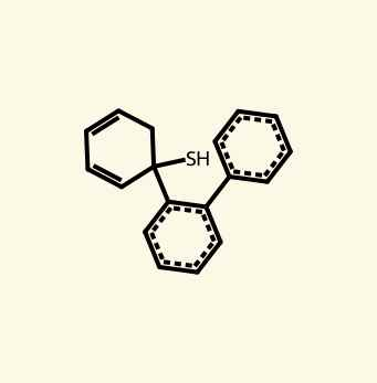 SC1(c2ccccc2-c2ccccc2)C=CC=CC1